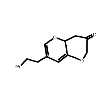 CC(C)CCC1=COC2CC(=O)COC2=C1